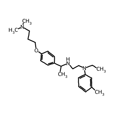 CCN(CCNC(C)c1ccc(OCCCN(C)C)cc1)c1cccc(C)c1